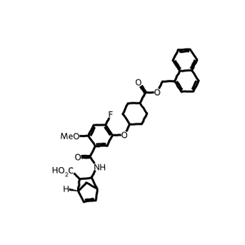 COc1cc(F)c(OC2CCC(C(=O)OCc3cccc4ccccc34)CC2)cc1C(=O)NC1C2C=C[C@@H](C2)C1C(=O)O